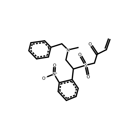 C=CC(=O)CS(=O)(=O)C(CN(C)Cc1ccccc1)c1ccccc1[N+](=O)[O-]